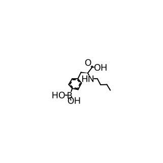 CCCCN[C@@H](Cc1ccc(B(O)O)cc1)C(=O)O